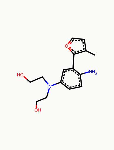 Cc1ccoc1-c1cc(N(CCO)CCO)ccc1N